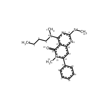 CCCCN(C)c1nc(SC)nc2cc(-c3ccccc3)n(C)c(=O)c12